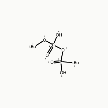 CC(C)(C)OP(=O)(O)OP(=O)(O)C(C)(C)C